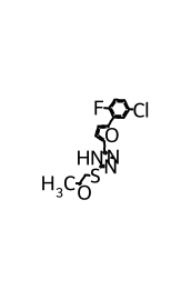 CC(=O)CSc1nnc(-c2ccc(-c3cc(Cl)ccc3F)o2)[nH]1